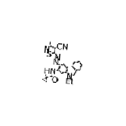 CCN(Cc1ccccc1)c1ccc(N=Nc2snc(C)c2C#N)c(NC(=O)C2(C)CC2)c1